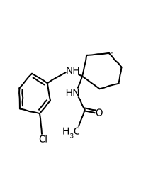 CC(=O)NC1(Nc2cccc(Cl)c2)C[CH]CCC1